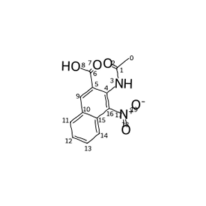 CC(=O)Nc1c(C(=O)O)cc2ccccc2c1[N+](=O)[O-]